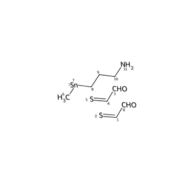 O=CC=S.O=CC=S.[CH3][Sn][CH2]CCN